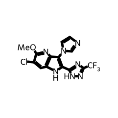 COc1nc2c(-n3ccnc3)c(-c3nc(C(F)(F)F)n[nH]3)[nH]c2cc1Cl